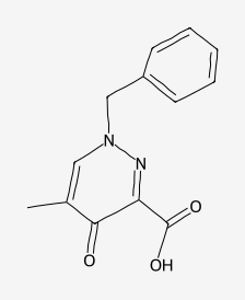 Cc1cn(Cc2ccccc2)nc(C(=O)O)c1=O